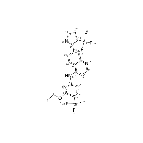 CCOc1nc(Nc2ccnc3cc(-c4ncsc4C(F)(F)F)ccc23)ccc1C(F)(F)F